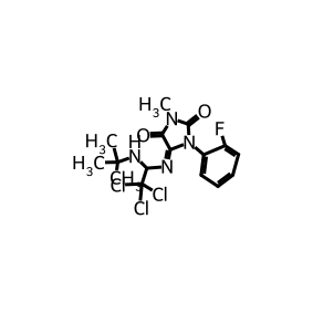 CN1C(=O)C(=NC(NC(C)(C)C)C(Cl)(Cl)Cl)N(c2ccccc2F)C1=O